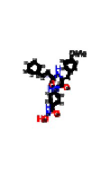 COc1ccc(C[C@H](NC(=O)/C=C/c2ccccc2)C(=O)Nc2ccc(C(=O)NO)cc2)cc1